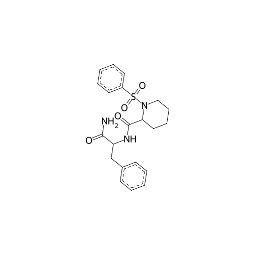 NC(=O)C(Cc1ccccc1)NC(=O)C1CCCCN1S(=O)(=O)c1ccccc1